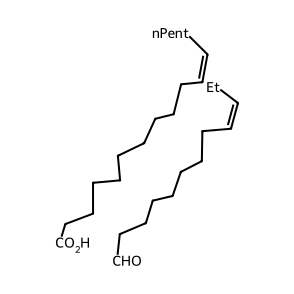 CC/C=C\CCCCCCCC=O.CCCCC/C=C\CCCCCCCCCC(=O)O